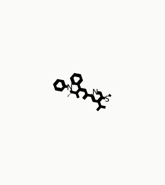 C=C(/C=C1/c2ccccc2N(c2ccccc2)[C@@H](C)C1C)c1cc(C(C)C)c(SC)cn1